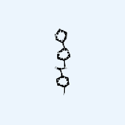 O=C(Nc1cnc(-c2cccnc2)nc1)c1ccc(F)cc1